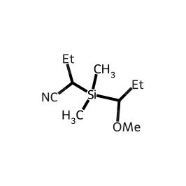 CCC(C#N)[Si](C)(C)C(CC)OC